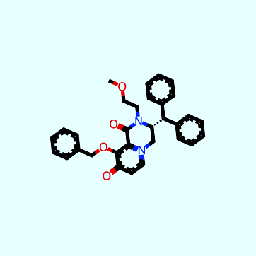 COCCN1C(=O)c2c(OCc3ccccc3)c(=O)ccn2C[C@H]1C(c1ccccc1)c1ccccc1